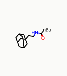 CCCCC(=O)NCCC12CC3CC(CC(C3)C1)C2